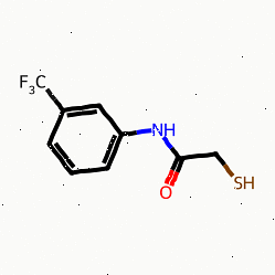 O=C(CS)Nc1cccc(C(F)(F)F)c1